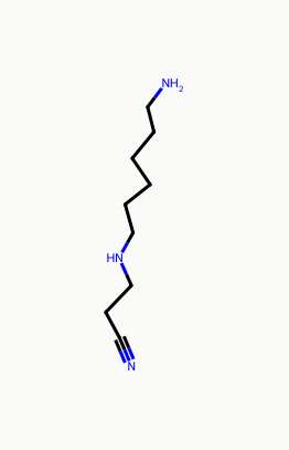 N#CCCNCCCCCCN